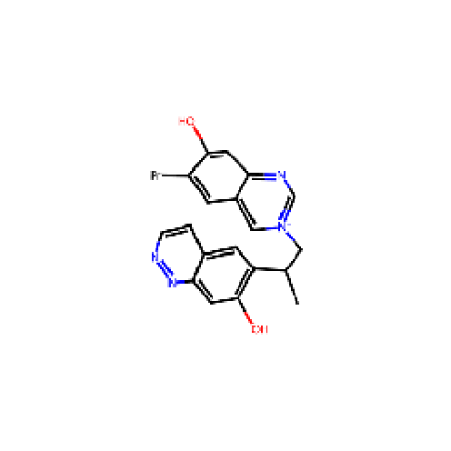 CC(C)c1cc2c[n+](CC(C)c3cc4ccnnc4cc3O)cnc2cc1O